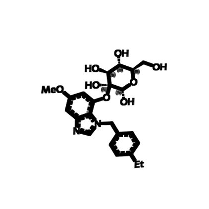 CCc1ccc(Cn2cnc3cc(OC)cc(O[C@]4(O)[C@@H](O)O[C@H](CO)[C@@H](O)[C@@H]4O)c32)cc1